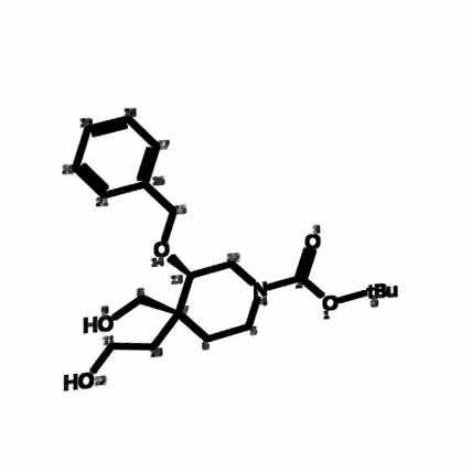 CC(C)(C)OC(=O)N1CC[C@](CO)(CCO)[C@@H](OCc2ccccc2)C1